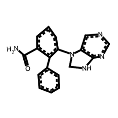 NC(=O)c1cccc(N2CNc3ncncc32)c1-c1ccccc1